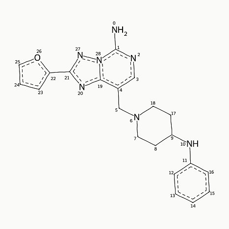 Nc1ncc(CN2CCC(Nc3ccccc3)CC2)c2nc(-c3ccco3)nn12